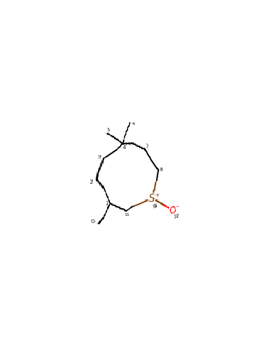 CC1CCC(C)(C)CC[S+]([O-])C1